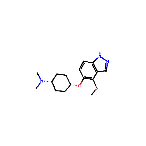 CSc1c(O[C@H]2CC[C@@H](N(C)C)CC2)ccc2[nH]ncc12